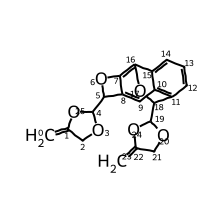 C=C1COC(C2Oc3c2cc2c4cccc2c3OC4C2OCC(=C)O2)O1